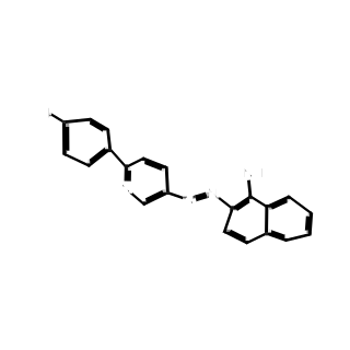 Nc1c(N=Nc2ccc(-c3ccc(Cl)cc3)nc2)ccc2ccccc12